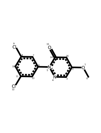 COc1cnn(-c2cc(Cl)cc(Cl)c2)c(=O)c1